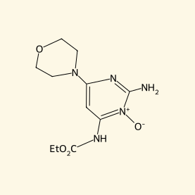 CCOC(=O)Nc1cc(N2CCOCC2)nc(N)[n+]1[O-]